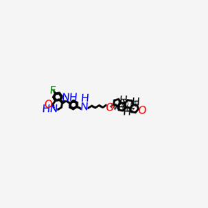 C[C@]12CCC(=O)C[C@@H]1CC[C@@H]1[C@@H]2CC[C@]2(C)[C@@H](OCCCCCCNCc3ccc(-c4[nH]c5cc(F)cc6c5c4CCNC6=O)cc3)CC[C@@H]12